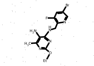 CCOc1nc(C)c(N)c(NCc2ncc(Br)cc2F)n1